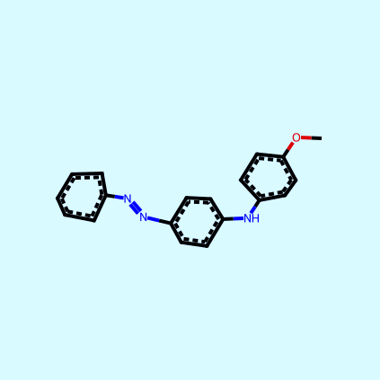 COc1ccc(Nc2ccc(N=Nc3ccccc3)cc2)cc1